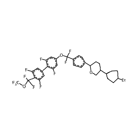 CCC1CCC(C2CCC(c3ccc(C(F)(F)Oc4cc(F)c(-c5cc(F)c(C(F)(F)OC(F)(F)F)c(F)c5)c(F)c4)cc3)OC2)CC1